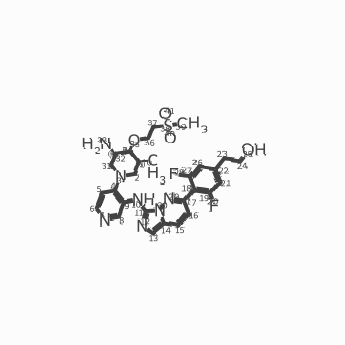 C[C@H]1CN(c2ccncc2Nc2ncc3ccc(-c4c(F)cc(CCO)cc4F)nn23)C[C@@H](N)[C@H]1OCCS(C)(=O)=O